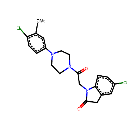 COc1cc(N2CCN(C(=O)CN3C(=O)Cc4cc(Cl)ccc43)CC2)ccc1Cl